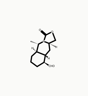 C[C@H]1[C@@H]2CCC[C@H](C=O)[C@H]2C[C@@H]2COC(=O)N21